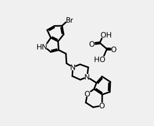 Brc1ccc2[nH]cc(CCN3CCN(c4cccc5c4OCCO5)CC3)c2c1.O=C(O)C(=O)O